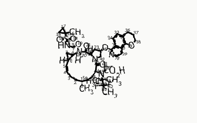 C[C@@H]1CC/C=C\[C@@H]2C[C@@]2(C(=O)NS(=O)(=O)C2(C)CC2)NC(=O)[C@@H]2C[C@@H](Oc3nccc4c5c(ccc34)CCCO5)CN2C(=O)[C@@H](N(C(=O)O)C(C)(C)C(C)(F)F)[C@H](C)C1